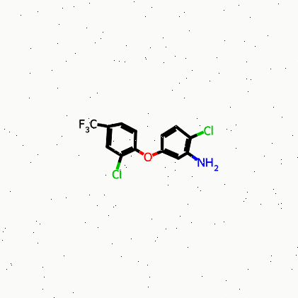 Nc1cc(Oc2ccc(C(F)(F)F)cc2Cl)ccc1Cl